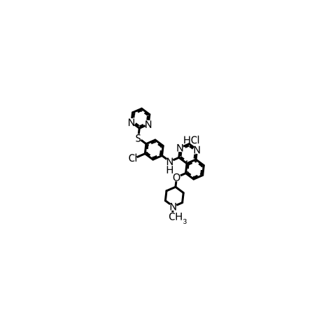 CN1CCC(Oc2cccc3ncnc(Nc4ccc(Sc5ncccn5)c(Cl)c4)c23)CC1.Cl